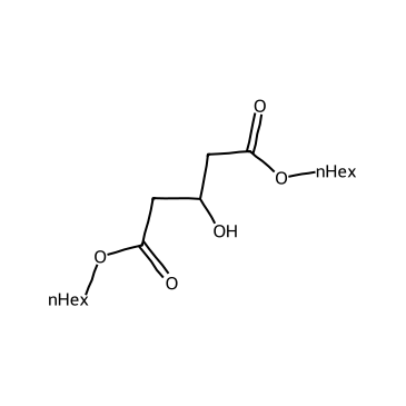 CCCCCCOC(=O)CC(O)CC(=O)OCCCCCC